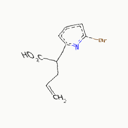 C=CCC(C(=O)O)c1cccc(Br)n1